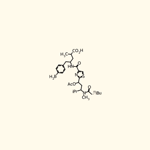 Bc1ccc(CC(CC(C)C(=O)O)NC(=O)c2csc(C(CC(C(C)C)N(C)C(=O)C[C@@H](C)CC)OC(C)=O)n2)cc1